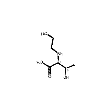 C[C@@H](O)[C@H](NCCO)C(=O)O